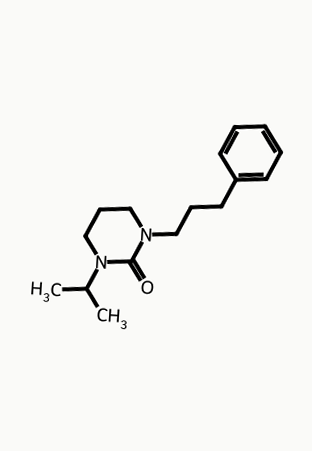 CC(C)N1CCCN(CCCc2ccccc2)C1=O